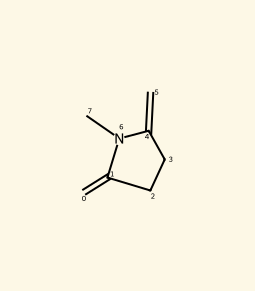 C=C1CCC(=C)N1C